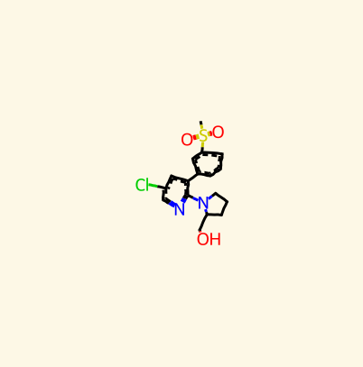 CS(=O)(=O)c1cccc(-c2cc(Cl)cnc2N2CCCC2CO)c1